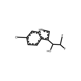 OC(c1c[nH]c2cc(Cl)ccc12)C(F)F